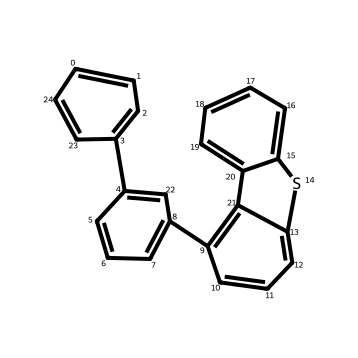 c1ccc(-c2cccc(-c3cccc4sc5ccccc5c34)c2)cc1